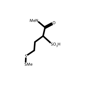 CNC(=O)C(CCSSC)S(=O)(=O)O